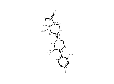 Cc1cc(F)ccc1N1CCC(N2CCN3C(=O)CC[C@@H]3C2)CC1C(=O)O